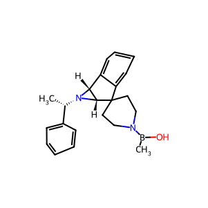 CB(O)N1CCC2(CC1)c1ccccc1[C@@H]1[C@H]2[N@]1[C@@H](C)c1ccccc1